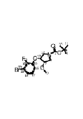 CO[C@@H]1CN(C(=O)OC(C)(C)C)C[C@H]1Oc1cccc(Br)c1F